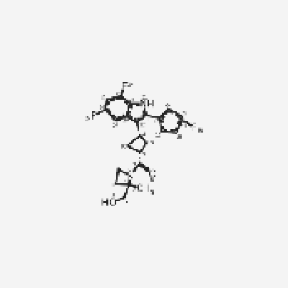 CC1(CO)CCN1C(=O)[C@H]1C[C@H](c2c(-c3ccc(F)cc3)[nH]c3c(F)cc(F)cc32)C1